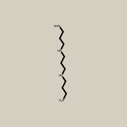 CNCCCNCCCNCCCN